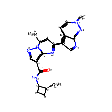 CNc1cc(-c2cnc3nn(C(C)C)ccc2-3)nc2c(C(=O)NC3CC[C@@H]3OC)cnn12